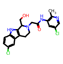 Cc1ncc(Cl)cc1NC(=O)CN1CCc2c([nH]c3ccc(Cl)cc23)C1CO